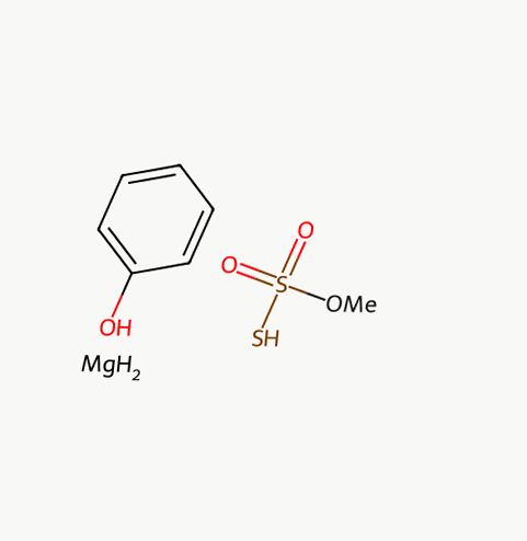 COS(=O)(=O)S.Oc1ccccc1.[MgH2]